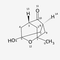 CC12C[C@@H]3CC(O)(C[C@H](C1)C3=O)O2